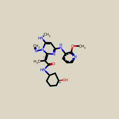 C=NN1C(NC)=CC(Nc2cccnc2OC)=N/C1=C(/C)C(=O)NC1CCC[C@H](O)C1